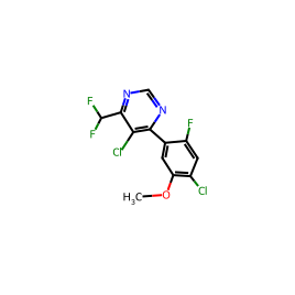 COc1cc(-c2ncnc(C(F)F)c2Cl)c(F)cc1Cl